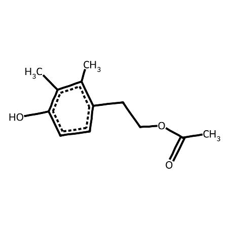 CC(=O)OCCc1ccc(O)c(C)c1C